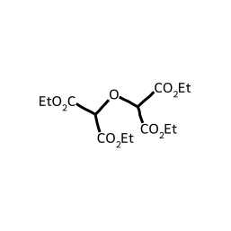 CCOC(=O)C(OC(C(=O)OCC)C(=O)OCC)C(=O)OCC